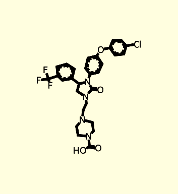 O=C(O)N1CCN(CCN2CC(c3cccc(C(F)(F)F)c3)N(c3ccc(Oc4ccc(Cl)cc4)cc3)C2=O)CC1